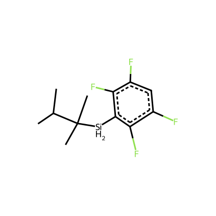 CC(C)C(C)(C)[SiH2]c1c(F)c(F)cc(F)c1F